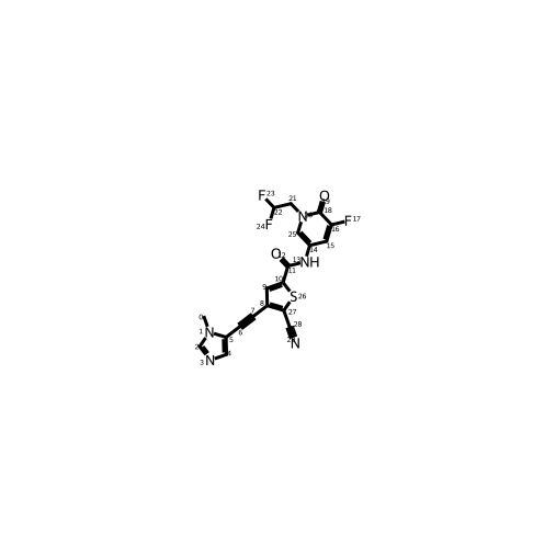 Cn1cncc1C#Cc1cc(C(=O)Nc2cc(F)c(=O)n(CC(F)F)c2)sc1C#N